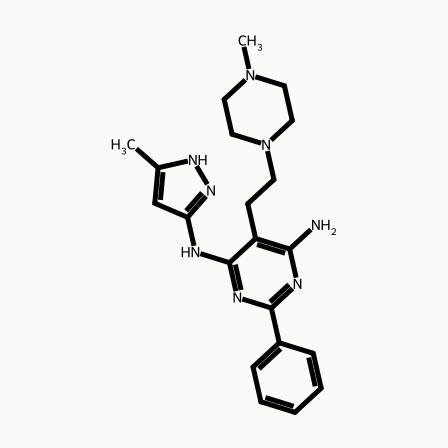 Cc1cc(Nc2nc(-c3ccccc3)nc(N)c2CCN2CCN(C)CC2)n[nH]1